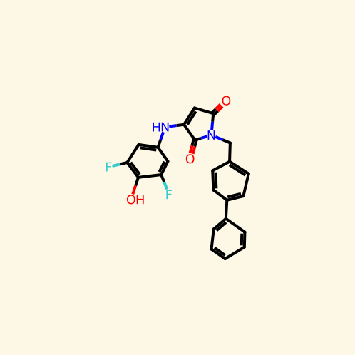 O=C1C=C(Nc2cc(F)c(O)c(F)c2)C(=O)N1Cc1ccc(-c2ccccc2)cc1